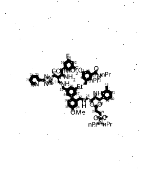 CCCN(CCC)C(=O)c1cc(C)cc(C(=O)O)c1.CCCN(CCC)S(=O)(=O)CCC(=O)O[C@H](CNCc1cccc(OC)c1)[C@@H](N)Cc1cccc(C)c1.CCc1cccc(CNC[C@H](C(N)Cc2cc(F)cc(F)c2)[C@@H](C(=O)O)n2nnc(-c3ccccn3)n2)c1